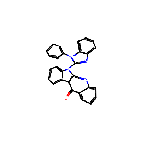 O=C1c2ccccc2N=C2C1c1ccccc1N2c1nc2ccccc2n1-c1ccccc1